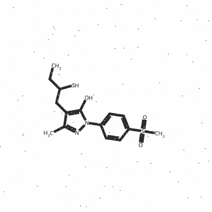 CCC(S)Cc1c(C)nn(-c2ccc(S(C)(=O)=O)cc2)c1O